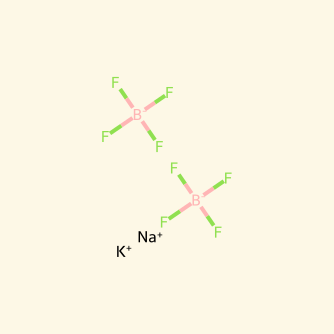 F[B-](F)(F)F.F[B-](F)(F)F.[K+].[Na+]